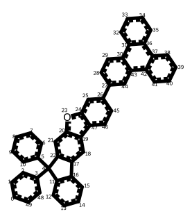 c1ccc(C2(c3ccccc3)c3ccccc3-c3cc4c(cc32)oc2cc(-c3ccc5c6ccccc6c6ccccc6c5c3)ccc24)cc1